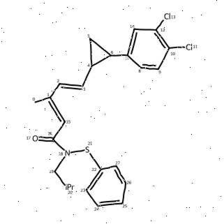 CC(C=CC1CC1c1ccc(Cl)c(Cl)c1)=CC(=O)N(CC(C)C)Sc1ccccc1